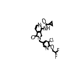 O=C(Nc1nccc2c1CN(Cc1cnc(OCC(F)F)c(Cl)c1)C2=O)C1CC1